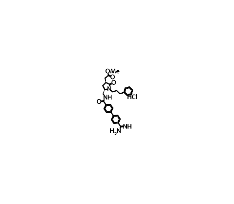 COC(=O)C[C@@H]1C[C@@H](CNC(=O)c2ccc(-c3ccc(C(=N)N)cc3)cc2)N(CCCc2ccccc2)C1=O.Cl